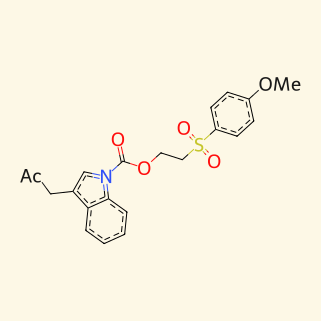 COc1ccc(S(=O)(=O)CCOC(=O)n2cc(CC(C)=O)c3ccccc32)cc1